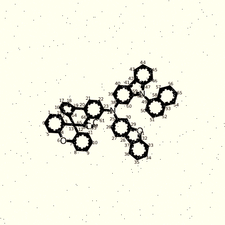 c1ccc2c(c1)Oc1ccccc1C21c2ccccc2-c2ccc(N(c3ccc4c(c3)oc3ccccc34)c3ccc4c5ccccc5n(-c5cccc6ccccc56)c4c3)c3cccc1c23